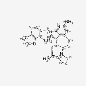 COc1c(C)cnc(Cn2nc3c4c(nc(N)nc42)SCC(N2CCC[C@H]2C(N)=O)C3)c1C